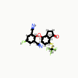 N#Cc1cc(F)cc(C#N)c1Oc1ccc(SC(F)(F)F)c2c1CCC2=O